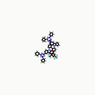 N#Cc1ccc(-n2c3ccccc3c3cc(-c4nc(-c5ccccc5)nc(-c5ccccc5)n4)ccc32)c(-c2cc(-c3cc(C(F)(F)F)cc(C(F)(F)F)c3)ccc2-n2c3ccccc3c3cc(-c4nc(-c5ccccc5)nc(-c5ccccc5)n4)ccc32)c1